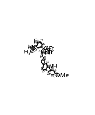 CC[Si](CC)(CC)O[C@@H](CNCCOc1ccc2c(c1)[nH]c1cc(OC)ccc12)c1ccc(F)c(NS(C)(=O)=O)c1